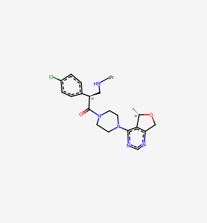 CC(C)NC[C@@H](C(=O)N1CCN(c2ncnc3c2[C@H](C)OC3)CC1)c1ccc(Cl)cc1